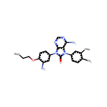 COCCOc1ccc(-n2c(=O)n(-c3ccc(C)c(OC)c3)c3c(N)ncnc32)cc1N